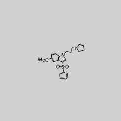 COc1ccc2c(c1)c(S(=O)(=O)c1ccccc1)cn2CCCN1CCCC1